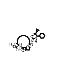 CC1CCCCCCC[C@H](NC(=O)N[C@H](C(=O)C2CC2)C2CCCCC2)C(=O)N2CCC[C@H]2C(=O)N[C@H]1C(=O)O